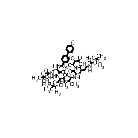 C[C@H](NC(=O)[C@@H](NC(=O)[C@H](CNC(=O)OC(C)(C)C)NC(=O)c1ccc(-c2ccc(Cl)cc2)cc1)[C@@H](C)OC(C)(C)C)C(=O)N[C@@H](CCCCNC(=O)OC(C)(C)C)C(=O)N[C@@H](C)C(O)C(=O)O